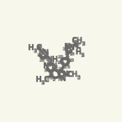 CC1Cc2nn(C)c(-c3ccc(-c4cnn(C(C)C)c4)cc3)c2-c2nc(Nc3ccn(C)n3)ncc21